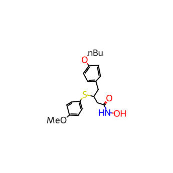 CCCCOc1ccc(CC(CC(=O)NO)Sc2ccc(OC)cc2)cc1